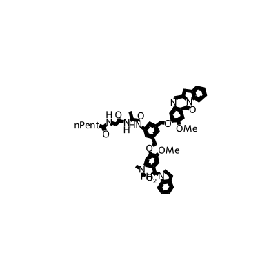 CCCCCC(=O)NCC(=O)NC(C)C(=O)Nc1cc(COc2cc3c(cc2OC)C(=O)N2c4ccccc4CC2C=N3)cc(COc2cc(N(C)P)c(C(=O)N3CCc4ccccc43)cc2OC)c1